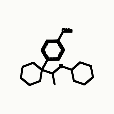 COc1ccc(C2(C(C)OC3CCCCC3)CCCCC2)cc1